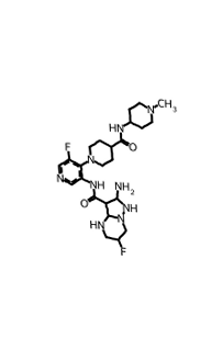 CN1CCC(NC(=O)C2CCN(c3c(F)cncc3NC(=O)C3C(N)NN4CC(F)CNC34)CC2)CC1